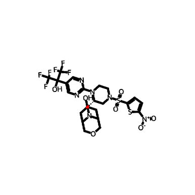 O=[N+]([O-])c1ccc(S(=O)(=O)N2CCN(c3ncc(C(O)(C(F)(F)F)C(F)(F)F)cn3)[C@@H](CN3C4COCC3CC(O)C4)C2)s1